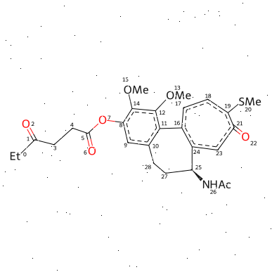 CCC(=O)CCC(=O)Oc1cc2c(c(OC)c1OC)-c1ccc(SC)c(=O)cc1[C@@H](NC(C)=O)CC2